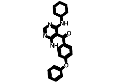 Nc1ncnc(NC2CCCCC2)c1C(=O)c1ccc(Oc2ccccc2)cc1